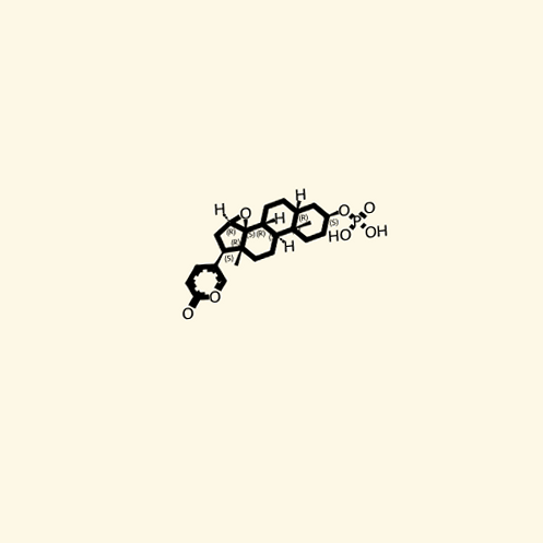 C[C@]12CC[C@H](OP(=O)(O)O)C[C@H]1CC[C@@H]1[C@@H]2CC[C@]2(C)[C@@H](c3ccc(=O)oc3)C[C@H]3O[C@]132